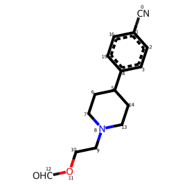 N#Cc1ccc(C2CCN(CCOC=O)CC2)cc1